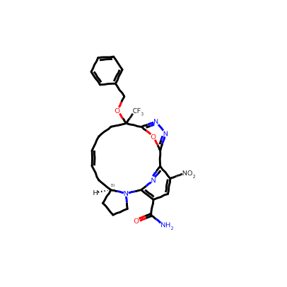 NC(=O)c1cc([N+](=O)[O-])c2nc1N1CCC[C@H]1CC=CCCC(OCc1ccccc1)(C(F)(F)F)c1nnc-2o1